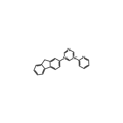 c1ccc(-[n+]2cnc[n+](-c3ccc4c(c3)Cc3ccccc3-4)c2)nc1